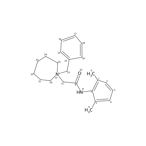 Cc1cccc(C)c1NC(=O)C[N+]1(Cc2ccccc2)CCCCCC1